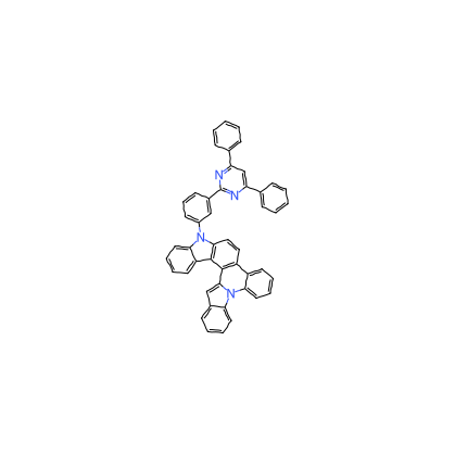 c1ccc(-c2cc(-c3ccccc3)nc(-c3cccc(-n4c5ccccc5c5c6c(ccc54)c4ccccc4n4c5ccccc5cc64)c3)n2)cc1